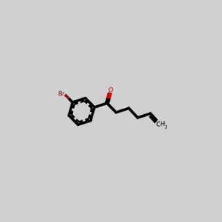 C=CCCCC(=O)c1cccc(Br)c1